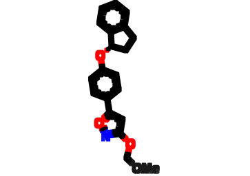 COCOc1cc(-c2ccc(O[C@H]3CCc4ccccc43)cc2)on1